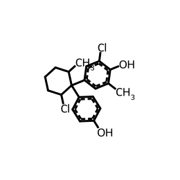 Cc1cc(C2(c3ccc(O)cc3)C(C)CCCC2Cl)cc(Cl)c1O